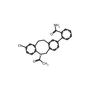 CC(=O)N1Cc2ccc(-c3ccccc3C(N)=O)cc2CCc2cc(Cl)ccc21